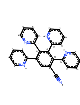 N#Cc1cc(-c2ccccn2)c(-c2ccccn2)c(-c2ccccn2)c1-c1ccccn1